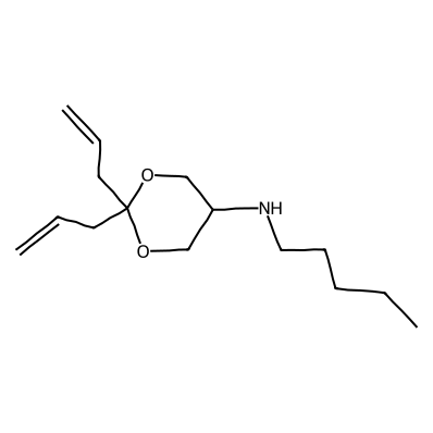 C=CCC1(CC=C)OCC(NCCCCC)CO1